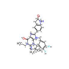 CCN1C(=O)c2nc(-c3ccc4c(c3)CC(=O)N4)n(Cc3ccc(F)c(F)c3)c2N2CC(C)(C)N=C12